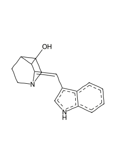 OC1/C(=C/c2c[nH]c3ccccc23)N2CCC1CC2